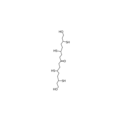 O=C(CCC(S)CCC(S)CCO)CCC(S)CCC(S)CCO